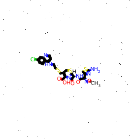 CO/N=C(/C(=O)N[C@@H]1C(=O)N2C(C(=O)O)=C(CSCCNc3ccnc4cc(Cl)ccc34)CS[C@H]12)c1csc(N)n1